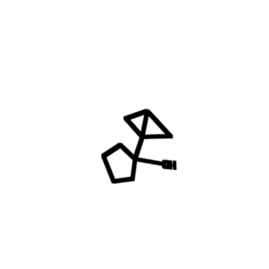 OC1(C23CC2C3)CCCC1